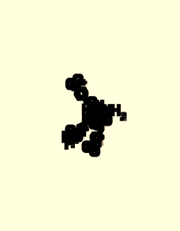 NC(=NC(=O)OCc1ccc([N+](=O)[O-])cc1)N(CC(=O)NC1CN(OC(=O)C(F)(F)F)C1)C(=O)OCc1ccc([N+](=O)[O-])cc1